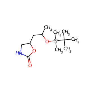 CC(CC1CNC(=O)O1)O[Si](C)(C)C(C)(C)C